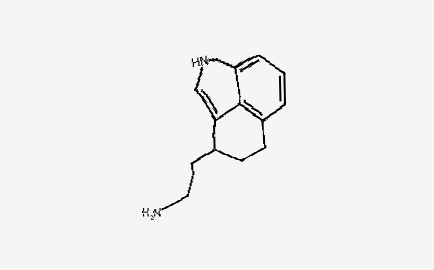 NCCC1CCc2cccc3[nH]cc1c23